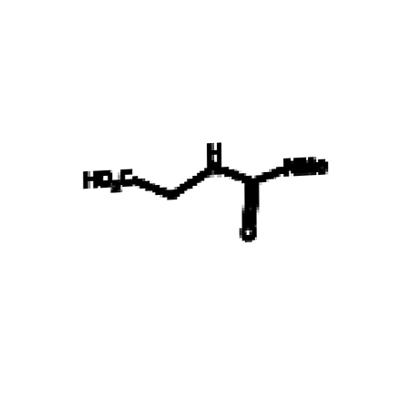 [CH2]NC(=O)NCC(=O)O